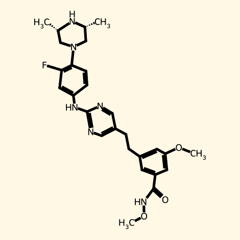 CONC(=O)c1cc(CCc2cnc(Nc3ccc(N4C[C@@H](C)N[C@@H](C)C4)c(F)c3)nc2)cc(OC)c1